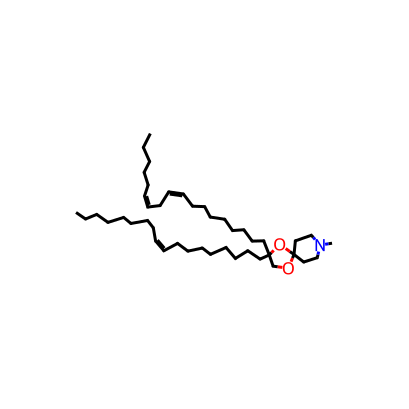 CCCCC/C=C\C/C=C\CCCCCCCCC1(CCCCCCCC/C=C\CCCCCCCC)COC2(CCN(C)CC2)O1